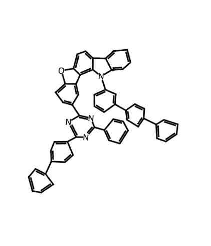 c1ccc(-c2ccc(-c3cccc(-n4c5ccccc5c5ccc6oc7ccc(-c8nc(-c9ccccc9)nc(-c9ccc(-c%10ccccc%10)cc9)n8)cc7c6c54)c3)cc2)cc1